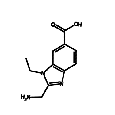 CCn1c(CN)nc2ccc(C(=O)O)cc21